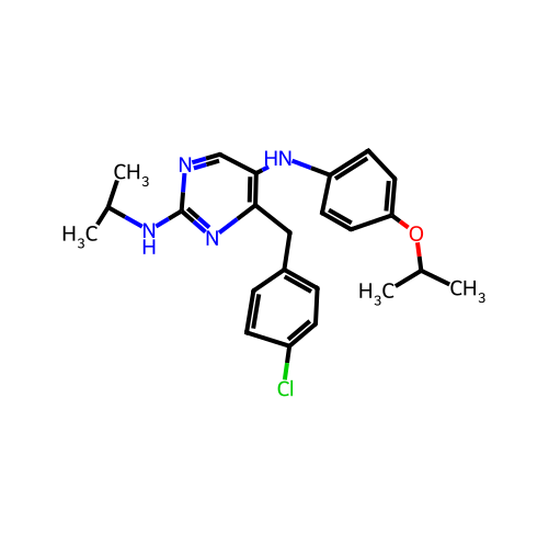 CC(C)Nc1ncc(Nc2ccc(OC(C)C)cc2)c(Cc2ccc(Cl)cc2)n1